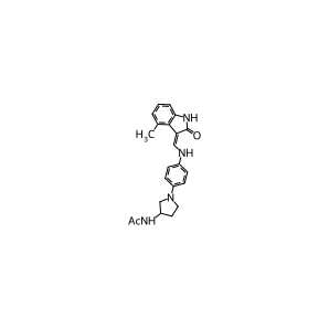 CC(=O)NC1CCN(c2ccc(NC=C3C(=O)Nc4cccc(C)c43)cc2)C1